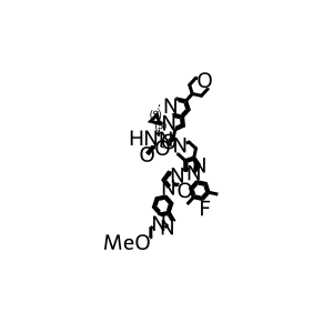 COCCn1ncc2cc(-n3ccn(-c4c5c(nn4-c4cc(C)c(F)c(C)c4)CCN(C(=O)c4cc6cc(C7CCOCC7)cnc6n4[C@@]4(c6noc(=O)[nH]6)C[C@@H]4C)C5)c3=O)ccc21